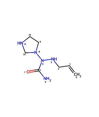 C=CCNN(C(N)=O)N1CCNC1